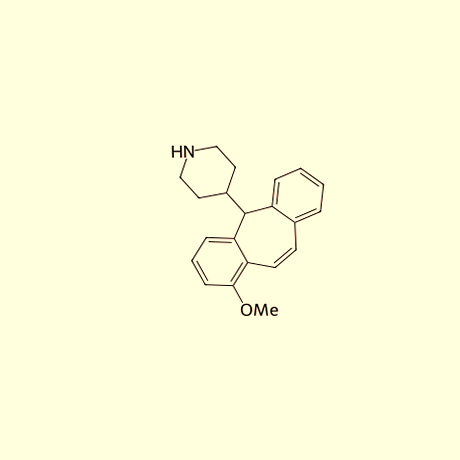 COc1cccc2c1C=Cc1ccccc1C2C1CCNCC1